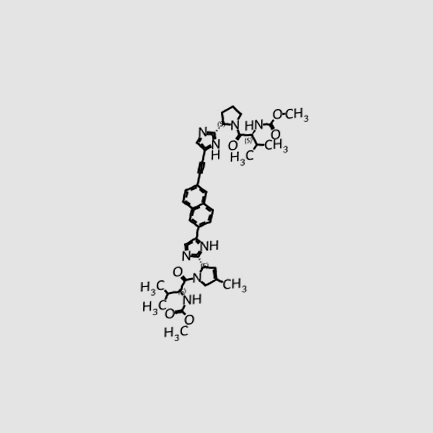 COC(=O)N[C@H](C(=O)N1CC(C)=C[C@H]1c1ncc(-c2ccc3cc(C#Cc4cnc([C@@H]5CCCN5C(=O)[C@@H](NC(=O)OC)C(C)C)[nH]4)ccc3c2)[nH]1)C(C)C